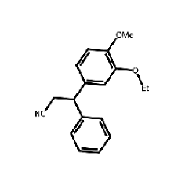 CCOc1cc(C(CC#N)c2ccccc2)ccc1OC